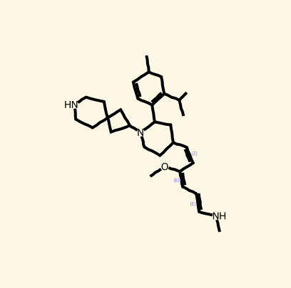 CN/C=C/C=C(\C=C/C1CCN(C2CC3(CCNCC3)C2)C(C2=C(C(C)C)CC(C)C=C2)C1)OC